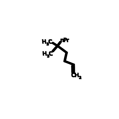 C=CCCC(C)(C)CCC